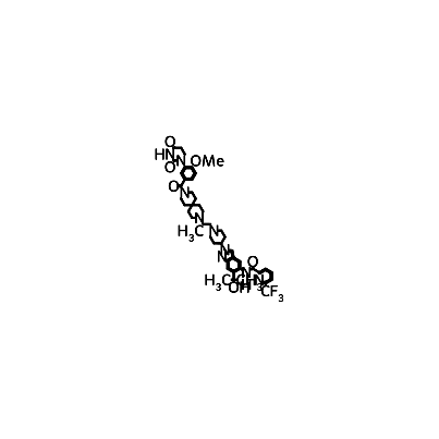 COc1ccc(C(=O)N2CCC3(CC2)CCN(C(C)CN2CCC(n4cc5cc(NC(=O)c6cccc(C(F)(F)F)n6)c(C(C)(C)O)cc5n4)CC2)CC3)cc1N1CCC(=O)NC1=O